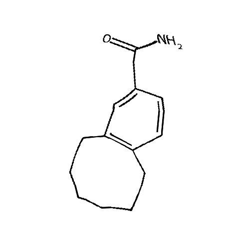 NC(=O)c1ccc2c(c1)CCCCCC2